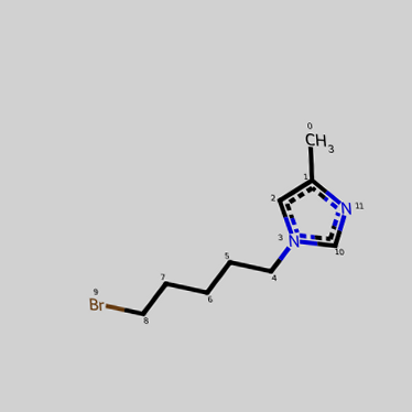 Cc1cn(CCCCCBr)cn1